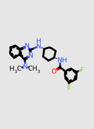 CN(C)c1nc(N[C@H]2CC[C@@H](NC(=O)c3cc(F)cc(F)c3)CC2)nc2ccccc12